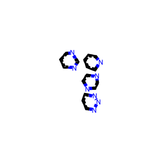 c1ccncc1.c1cnccn1.c1cncnc1.c1cnnnc1